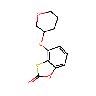 O=c1oc2cccc(OC3CCCOC3)c2s1